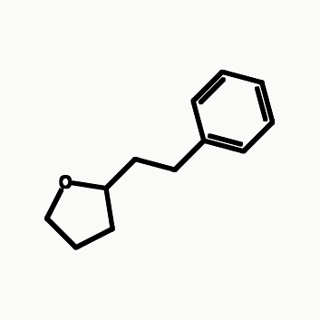 c1ccc(CCC2CCCO2)cc1